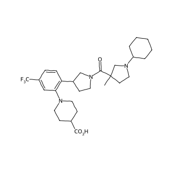 CC1(C(=O)N2CCC(c3ccc(C(F)(F)F)cc3N3CCC(C(=O)O)CC3)C2)CCN(C2CCCCC2)C1